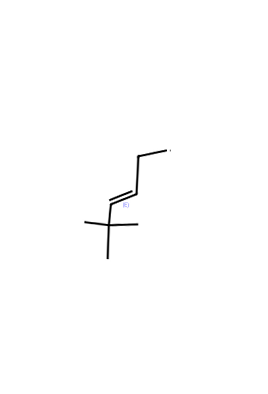 [CH2]C/C=C/C(C)(C)C